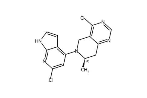 C[C@@H]1Cc2ncnc(Cl)c2CN1c1cc(Cl)nc2[nH]ccc12